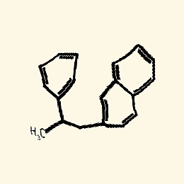 CC([CH]c1ccc2ccccc2c1)c1ccccc1